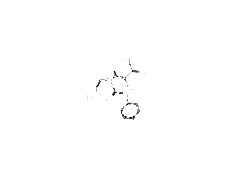 C/C=C\n1c(=O)c(C(=O)Cl)nn(-c2ccccc2)c1=O